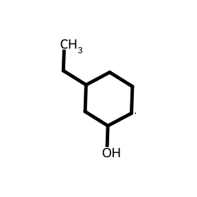 CCC1CC[CH]C(O)C1